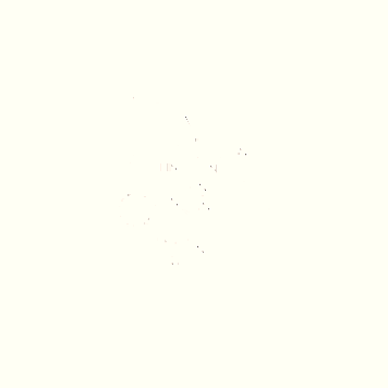 COCC[C@@H](Cc1ncc(C)cn1)S(=O)(=O)Nc1nnc(-c2nc(C)cs2)n1-c1c(OC)cccc1OC